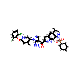 Cc1cc(Oc2c(F)cccc2F)ncc1-n1ncc(C(=O)c2cc3cc(C(C)C)c(NS(=O)(=O)C4CCCCC4)cc3[nH]2)c1N